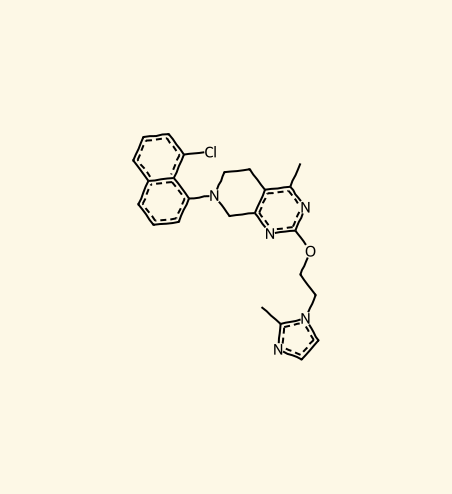 Cc1nc(OCCn2ccnc2C)nc2c1CCN(c1cccc3cccc(Cl)c13)C2